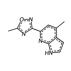 Cc1nc(-c2cc(C)c3cc[nH]c3n2)no1